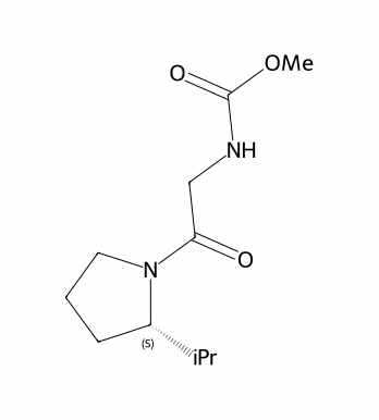 COC(=O)NCC(=O)N1CCC[C@H]1C(C)C